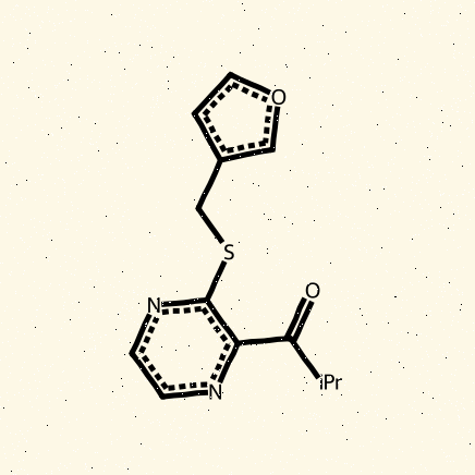 CC(C)C(=O)c1nccnc1SCc1ccoc1